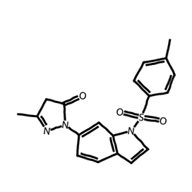 CC1=NN(c2ccc3ccn(S(=O)(=O)c4ccc(C)cc4)c3c2)C(=O)C1